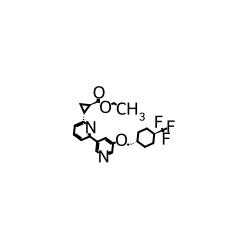 CCOC(=O)[C@@H]1C[C@H]1c1cccc(-c2cncc(OC[C@H]3CC[C@H](C(F)(F)F)CC3)c2)n1